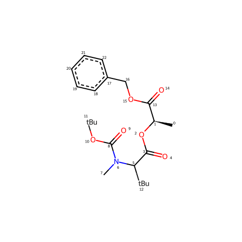 C[C@@H](OC(=O)C(N(C)C(=O)OC(C)(C)C)C(C)(C)C)C(=O)OCc1ccccc1